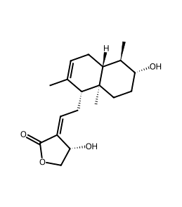 CC1=CC[C@@H]2[C@@H](C)[C@H](O)CC[C@@]2(C)[C@@H]1C/C=C1/C(=O)OC[C@H]1O